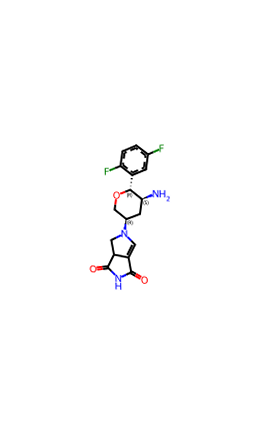 N[C@H]1C[C@@H](N2C=C3C(=O)NC(=O)C3C2)CO[C@@H]1c1cc(F)ccc1F